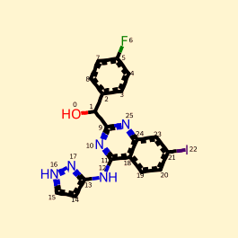 OC(c1ccc(F)cc1)c1nc(Nc2cc[nH]n2)c2ccc(I)cc2n1